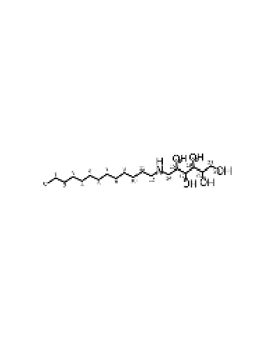 CCCCCCCCCCCCCNCC(O)C(O)C(O)C(O)CO